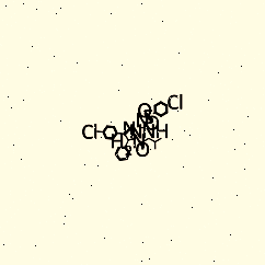 CC(C)C(N/C(=N\S(=O)(=O)c1ccc(Cl)cc1)N1C[C@@H](c2ccccc2)C(c2ccc(Cl)cc2)=N1)C(N)=O